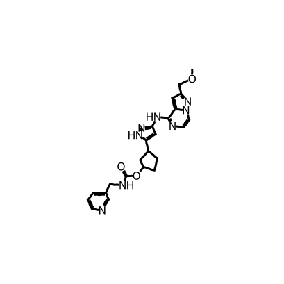 COCc1cc2c(Nc3cc(C4CCC(OC(=O)NCc5cccnc5)C4)[nH]n3)nccn2n1